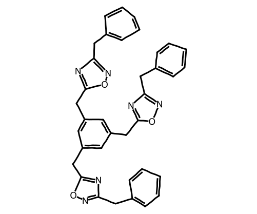 c1ccc(Cc2noc(Cc3cc(Cc4nc(Cc5ccccc5)no4)cc(Cc4nc(Cc5ccccc5)no4)c3)n2)cc1